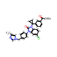 COC(=O)c1cccc(C2(n3c(=O)n(-c4ccc(Cn5cnc(C(F)(F)F)c5)cc4)c4cc(Cl)ccc43)CC2)c1